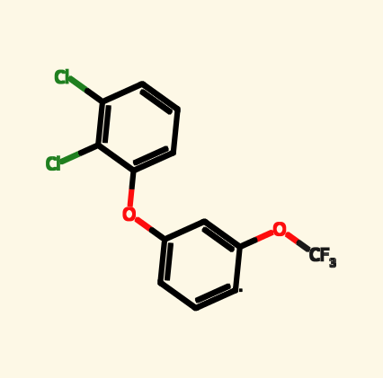 FC(F)(F)Oc1[c]ccc(Oc2cccc(Cl)c2Cl)c1